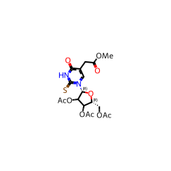 COC(=O)Cc1cn([C@@H]2O[C@H](COC(C)=O)C(OC(C)=O)C2OC(C)=O)c(=S)[nH]c1=O